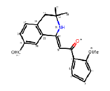 COc1ccccc1C(=O)C=C1NC(C)(C)Cc2ccc(C=O)cc21